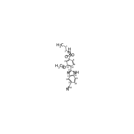 CCCNS(=O)(=O)c1ccc(-c2nc3cc(C#N)ccc3[nH]2)c(OC)c1